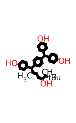 C=C(/C(O)=C\C=C(/C)C(c1ccc(O)cc1)c1ccc(C(c2ccc(O)cc2)c2ccc(O)cc2)cc1)C(C)(C)C